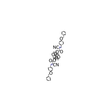 N#C/C(=C\c1ccc(OCc2ccccc2)cc1)C(=O)O[C@H]1CO[C@H]2[C@@H]1OC[C@H]2OC(=O)/C(C#N)=C/c1ccc(OCc2ccccc2)cc1